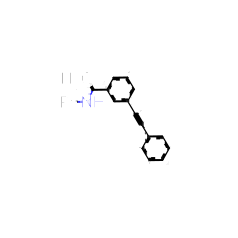 C=C(NC(C)C)c1cccc(C#Cc2ccccc2)c1